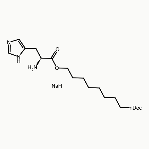 CCCCCCCCCCCCCCCCCCOC(=O)[C@@H](N)Cc1cnc[nH]1.[NaH]